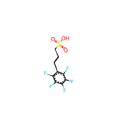 O=S(=O)(O)CCCc1c(F)c(F)c(F)c(F)c1F